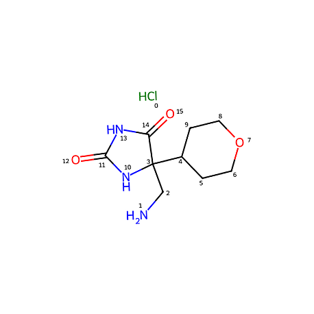 Cl.NCC1(C2CCOCC2)NC(=O)NC1=O